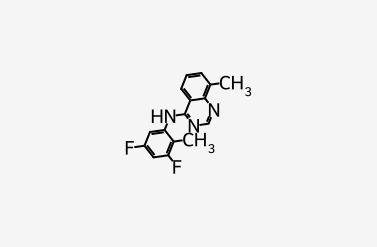 Cc1c(F)cc(F)cc1Nc1ncnc2c(C)cccc12